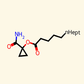 CCCCCCCCCCCC(=O)OC1(C(N)=O)CC1